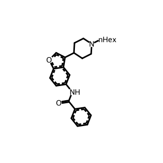 CCCCCCN1CCC(c2coc3ccc(NC(=O)c4ccccc4)cc23)CC1